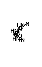 CC(CN(C)C)NC(=O)c1ccnc2[nH]c(-c3ccc(NCCN(C)C)cc3)nc12